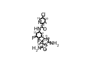 C[C@]1(c2cc(NC(=O)c3ccc(Cl)cn3)cc(F)c2F)N=C(N)S[C@@]2(C(N)=O)CC21